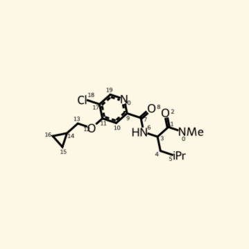 CNC(=O)C(CC(C)C)NC(=O)c1cc(OCC2CC2)c(Cl)cn1